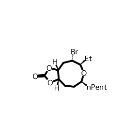 CCCCC[C@H]1CC[C@@H]2OC(=O)O[C@@H]2C[C@H](Br)[C@@H](CC)O1